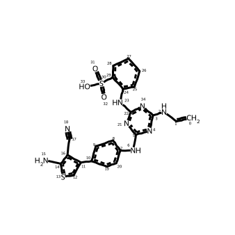 C=CNc1nc(Nc2ccc(-c3csc(N)c3C#N)cc2)nc(Nc2ccccc2S(=O)(=O)O)n1